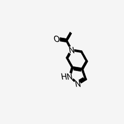 CC(=O)N1CCc2cn[nH]c2C1